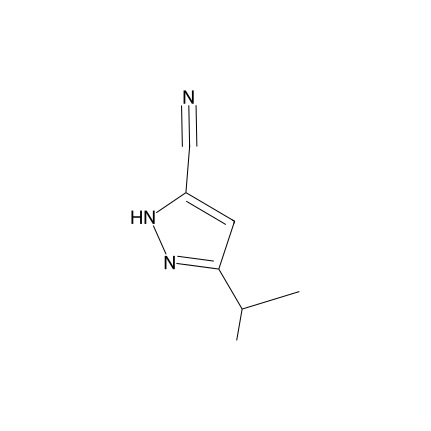 CC(C)c1cc(C#N)[nH]n1